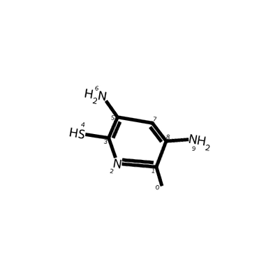 Cc1nc(S)c(N)cc1N